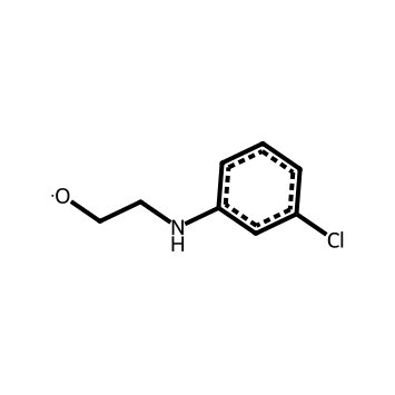 [O]CCNc1cccc(Cl)c1